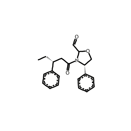 CC[C@H](CC(=O)N1C(C=O)OC[C@@H]1c1ccccc1)c1ccccc1